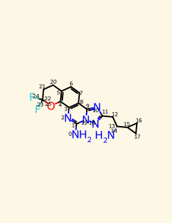 Nc1nc2c3c(ccc2c2nc(C[C@@H](N)C4CC4)nn12)CCC(F)(F)O3